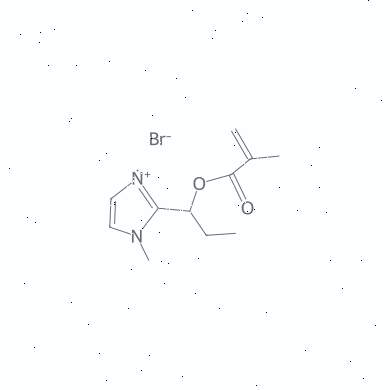 C=C(C)C(=O)OC(CC)C1=[N+]C=CN1C.[Br-]